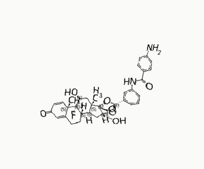 C[C@]12C=CC(=O)C=C1CC[C@H]1[C@@H]3C[C@H]4O[C@@H](c5cccc(NC(=O)c6ccc(N)cc6)c5)O[C@@]4(C(=O)CO)[C@@]3(C)C[C@H](O)[C@@]12F